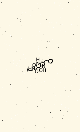 O=C(NCC1CC1)c1c(O)c2ncc(Cc3ccccc3)cc2[nH]c1=O